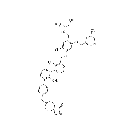 Cc1c(COc2cc(OCc3cncc(C#N)c3)c(CNC(CO)C(=O)O)cc2Cl)cccc1-c1cccc(-c2ccc(CN3CCC4(CC3)CNC4=O)cc2)c1C